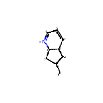 CC1CC2C=CC=NC2C1